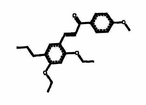 CCCc1cc(/C=C/C(=O)c2ccc(OC)cc2)c(OCC)cc1OCC